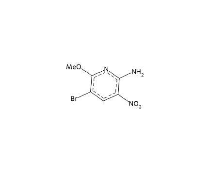 COc1nc(N)c([N+](=O)[O-])cc1Br